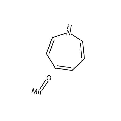 C1=CC=CNC=C1.[O]=[Mn]